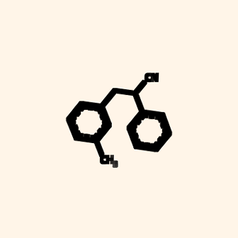 Cc1cccc(CC(C#N)c2ccccc2)c1